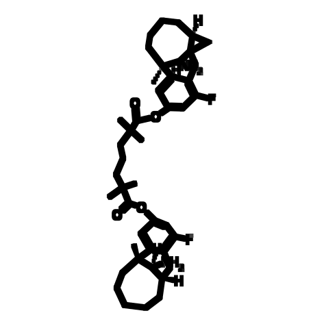 CC(C)(CCCC(C)(C)C(=O)Oc1cc(F)c2c(c1)[C@@]1(C)CCCC[C@H]3CC3(C2)[C@@H]1N)C(=O)Oc1cc(F)c2c(c1)[C@@]1(C)CCCCC[C@@H](C2)[C@@H]1N